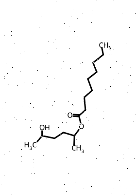 CCCCCCCCC(=O)OC(C)CCC(C)O